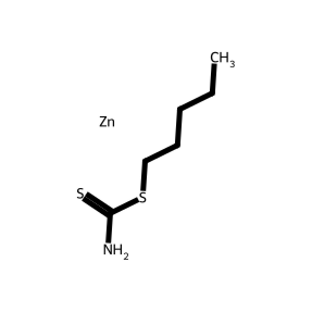 CCCCCSC(N)=S.[Zn]